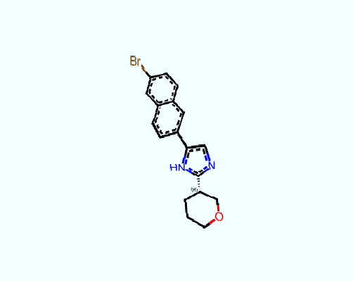 Brc1ccc2cc(-c3cnc([C@H]4CCCOC4)[nH]3)ccc2c1